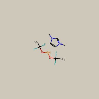 Cn1cc[n+](C)c1.FC(F)(F)C(F)(F)OPOC(F)(F)C(F)(F)F